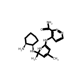 CC1=CC(C)(N[C@@H]2CCCC[C@@H]2N)NC(Nc2ccnnc2C(N)=O)=C1